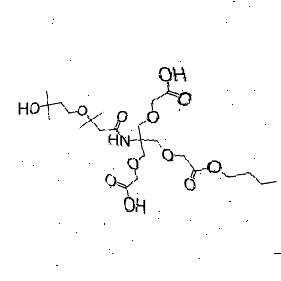 CCCCOC(=O)COCC(COCC(=O)O)(COCC(=O)O)NC(=O)CC(C)(C)OCCC(C)(C)O